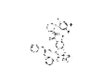 CC1(C)Oc2cc(F)c(C(=O)N[C@H]3CCCC[C@@H]3c3cc(F)c(F)cc3F)cc2N(CCN(Cc2ccccc2)Cc2ccccc2)C1=O